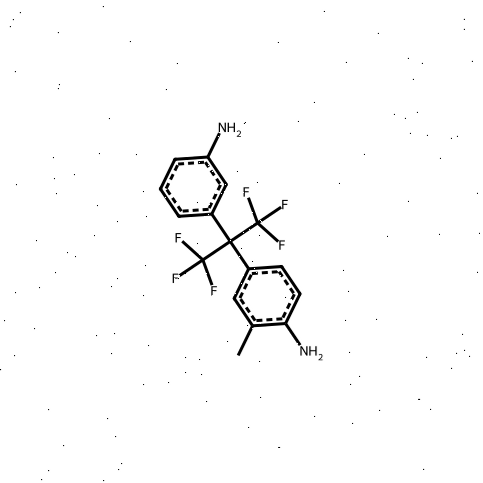 Cc1cc(C(c2cccc(N)c2)(C(F)(F)F)C(F)(F)F)ccc1N